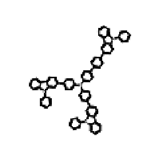 c1ccc(-n2c3ccccc3c3cc(-c4ccc(-c5ccc(N(c6ccc(-c7ccc8c9ccccc9n(-c9ccccc9)c8c7)cc6)c6ccc(-c7ccc8c9ccccc9n(-c9ccccc9)c8c7)cc6)cc5)cc4)ccc32)cc1